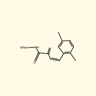 C=C(/C=C\c1cc(C)ccc1C)C(=O)NCCCCC